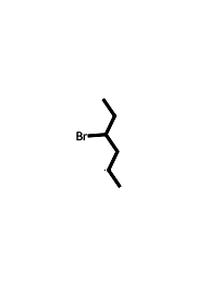 C[CH]CC(Br)CC